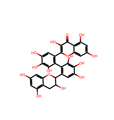 O=c1c(O)c(-c2cc(O)c(O)c(O)c2-c2c(C3Oc4cc(O)cc(O)c4CC3O)cc(O)c(O)c2O)oc2cc(O)cc(O)c12